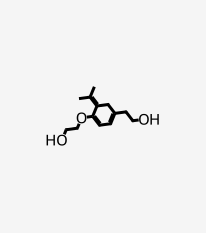 CC(C)=C1CC(CCO)=CC=C1OCCO